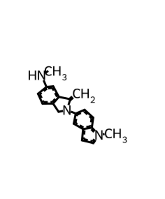 C=C1c2cc(NC)ccc2CN1c1ccc2c(ccn2C)c1